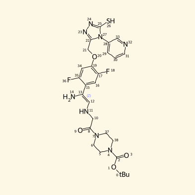 CC(C)(C)OC(=O)N1CCN(C(=O)CN/C=C(\N)c2cc(F)c(OCc3nnc(S)n3-c3cccnc3)cc2F)CC1